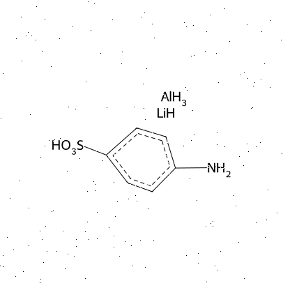 Nc1ccc(S(=O)(=O)O)cc1.[AlH3].[LiH]